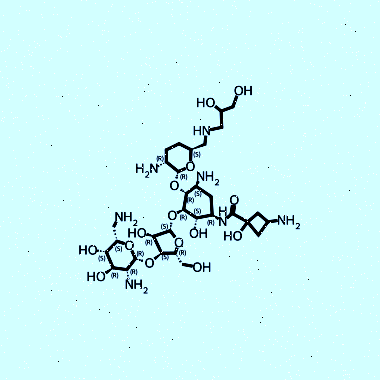 NC[C@@H]1O[C@H](O[C@H]2[C@@H](O)[C@H](O[C@@H]3[C@@H](O)[C@H](NC(=O)C4(O)CC(N)C4)C[C@H](N)[C@H]3O[C@H]3O[C@H](CNCC(O)CO)CC[C@H]3N)O[C@@H]2CO)[C@H](N)[C@@H](O)[C@@H]1O